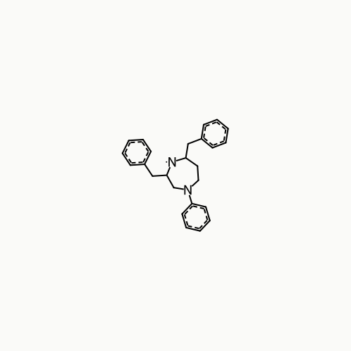 c1ccc(CC2CCN(c3ccccc3)CC(Cc3ccccc3)[N]2)cc1